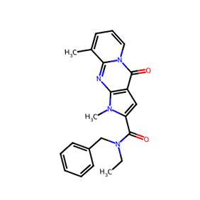 CCN(Cc1ccccc1)C(=O)c1cc2c(=O)n3cccc(C)c3nc2n1C